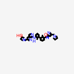 Cc1c(Nc2nccc3cc(CN4CC[C@@H](O)C4)cnc23)cccc1-c1cccc(-c2nc3cc(CN4CCCC4)cnc3o2)c1C